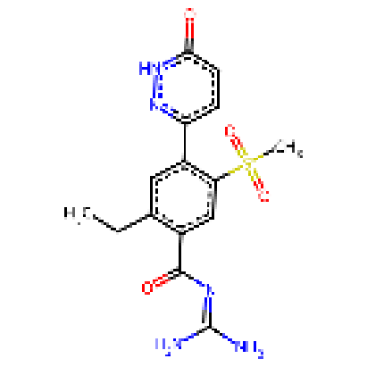 CCc1cc(-c2ccc(=O)[nH]n2)c(S(C)(=O)=O)cc1C(=O)N=C(N)N